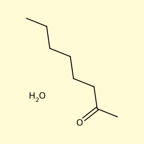 CCCCCCC(C)=O.O